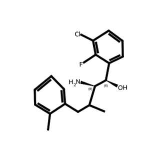 Cc1ccccc1CC(C)[C@@H](N)[C@H](O)c1cccc(Cl)c1F